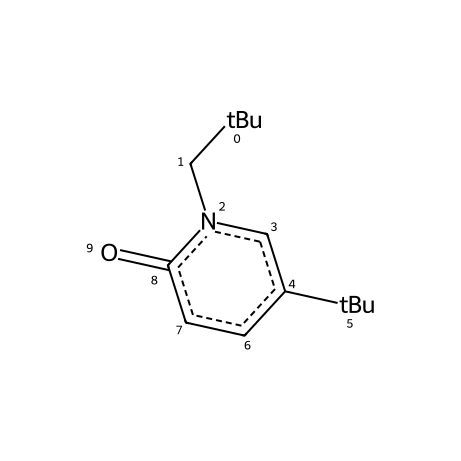 CC(C)(C)Cn1cc(C(C)(C)C)ccc1=O